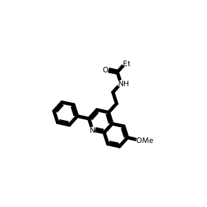 CCC(=O)NCCc1cc(-c2ccccc2)nc2ccc(OC)cc12